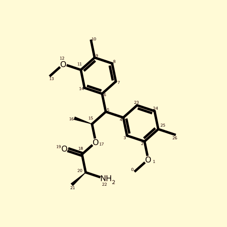 COc1cc(C(c2ccc(C)c(OC)c2)[C@H](C)OC(=O)[C@H](C)N)ccc1C